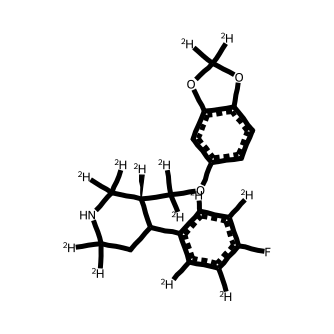 [2H]c1c([2H])c(C2CC([2H])([2H])NC([2H])([2H])[C@]2([2H])C([2H])([2H])Oc2ccc3c(c2)OC([2H])([2H])O3)c([2H])c([2H])c1F